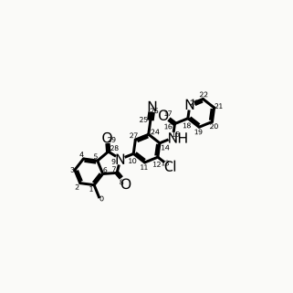 Cc1cccc2c1C(=O)N(c1cc(Cl)c(NC(=O)c3ccccn3)c(C#N)c1)C2=O